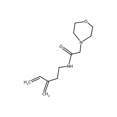 C=CC(=C)CCNC(=O)CN1CCOCC1